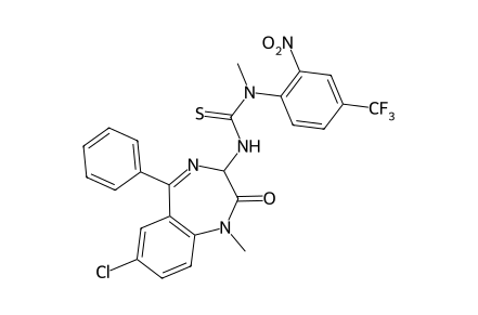 CN1C(=O)C(NC(=S)N(C)c2ccc(C(F)(F)F)cc2[N+](=O)[O-])N=C(c2ccccc2)c2cc(Cl)ccc21